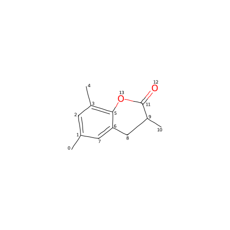 Cc1cc(C)c2c(c1)CC(C)C(=O)O2